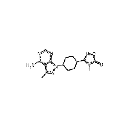 Nc1ncnc2c1c(I)nn2C1CCC(c2noc(=O)[nH]2)CC1